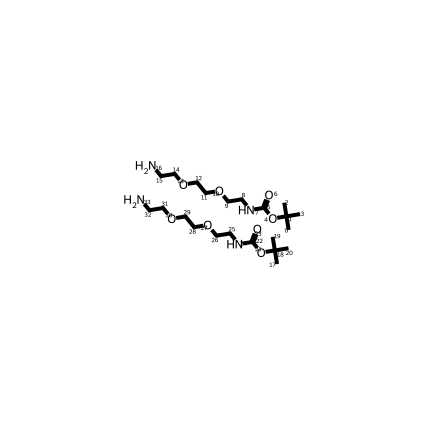 CC(C)(C)OC(=O)NCCOCCOCCN.CC(C)(C)OC(=O)NCCOCCOCCN